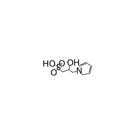 O=S(=O)(O)CC(O)CN1C=CC=CC1